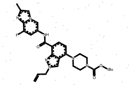 C=CCn1cc2c(N3CCN(C(=O)OC(C)(C)C)CC3)ccc(C(=O)Nc3cc(F)c4nc(C)cn4c3)c2n1